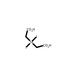 O=C(O)C[Te](I)(I)CC(=O)O